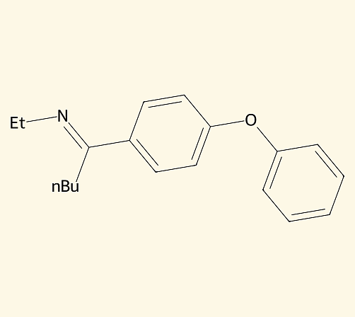 CCCC/C(=N\CC)c1ccc(Oc2ccccc2)cc1